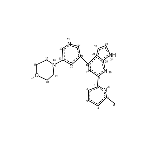 Cc1cccc(-c2nc(-c3cncc(N4CCOCC4)c3)c3cc[nH]c3n2)n1